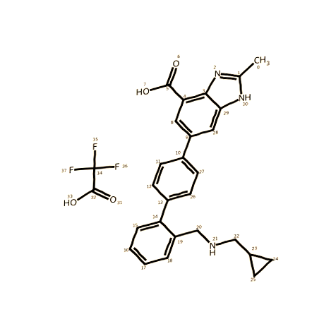 Cc1nc2c(C(=O)O)cc(-c3ccc(-c4ccccc4CNCC4CC4)cc3)cc2[nH]1.O=C(O)C(F)(F)F